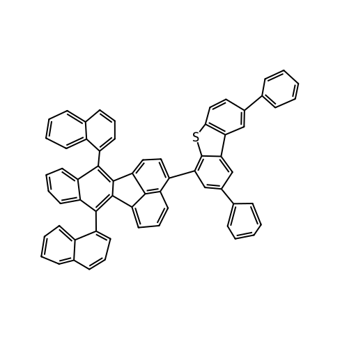 c1ccc(-c2ccc3sc4c(-c5ccc6c7c(cccc57)-c5c-6c(-c6cccc7ccccc67)c6ccccc6c5-c5cccc6ccccc56)cc(-c5ccccc5)cc4c3c2)cc1